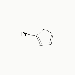 CC(C)C1=[C]C=CC1